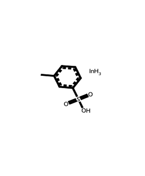 Cc1cccc(S(=O)(=O)O)c1.[InH3]